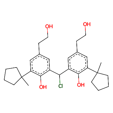 CC1(c2cc(CCO)cc(C(Cl)c3cc(CCO)cc(C4(C)CCCC4)c3O)c2O)CCCC1